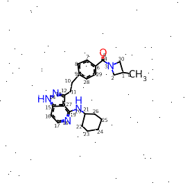 CC1CN(C(=O)c2ccc(CCc3n[nH]c4ccnc(NC5CCCCC5)c34)cc2)C1